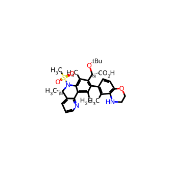 Cc1c(-c2c(C)c3c(c(C)c2[C@H](OC(C)(C)C)C(=O)O)N(S(C)(=O)=O)[C@@H](C)c2cccnc2-3)ccc2c1NCCO2